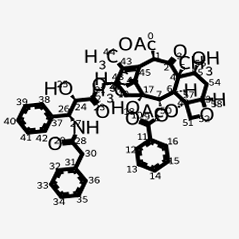 CC(=O)O[C@H]1C(=O)[C@@]2(C)[C@H]([C@H](OC(=O)c3ccccc3)[C@@]3(O)C[C@@H](OC(=O)[C@H](O)[C@@H](NC(=O)Cc4ccccc4)c4ccccc4)C(C)=C1C3(C)C)[C@]1(OC(C)=O)CO[C@H]1C[C@@H]2O